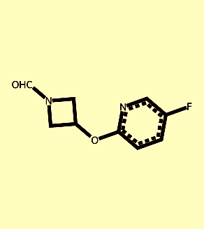 O=CN1CC(Oc2ccc(F)cn2)C1